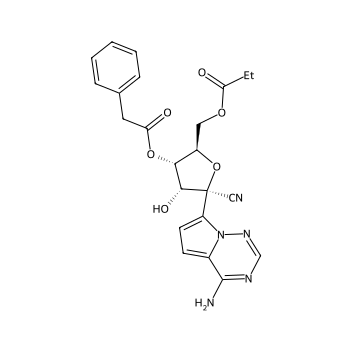 CCC(=O)OC[C@H]1O[C@@](C#N)(c2ccc3c(N)ncnn23)[C@H](O)[C@@H]1OC(=O)Cc1ccccc1